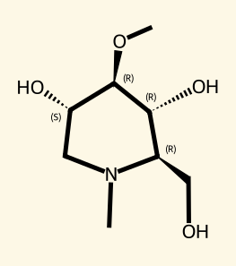 CO[C@H]1[C@H](O)[C@@H](CO)N(C)C[C@@H]1O